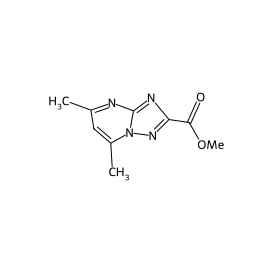 COC(=O)c1nc2nc(C)cc(C)n2n1